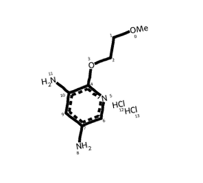 COCCOc1ncc(N)cc1N.Cl.Cl